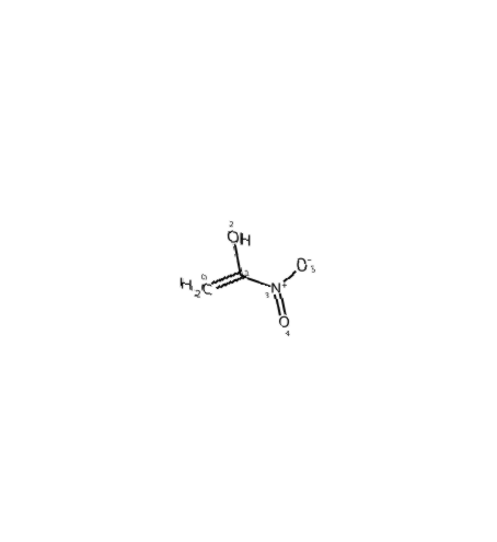 C=C(O)[N+](=O)[O-]